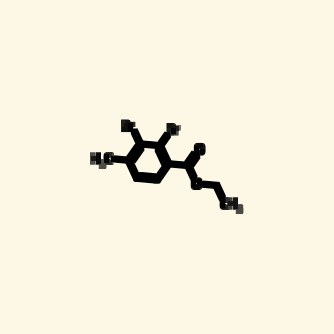 CCOC(=O)c1ccc(C)c(Br)c1Br